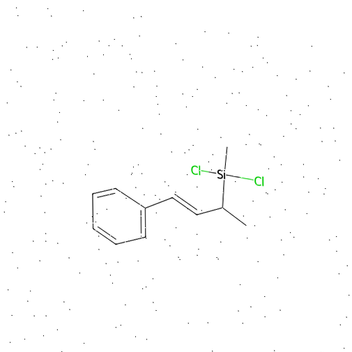 CC(C=Cc1ccccc1)[Si](C)(Cl)Cl